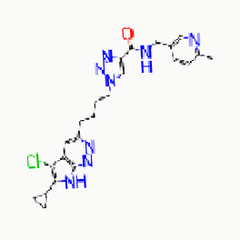 Cc1ccc(CNC(=O)c2cn(CCCCc3cc4c(Cl)c(C5CC5)[nH]c4nn3)nn2)cn1